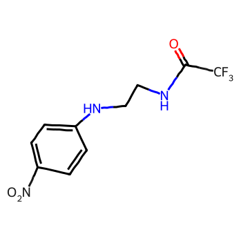 O=C(NCCNc1ccc([N+](=O)[O-])cc1)C(F)(F)F